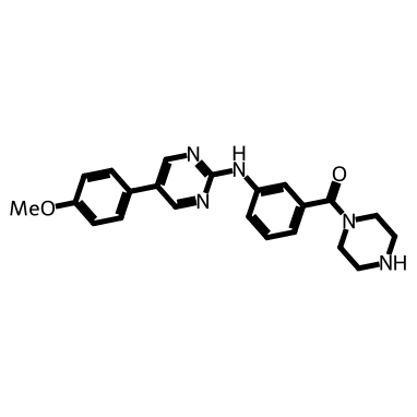 COc1ccc(-c2cnc(Nc3cccc(C(=O)N4CCNCC4)c3)nc2)cc1